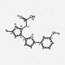 CSc1cccc(-c2ccc(-c3cc(C)nn3CC(=O)O)o2)c1